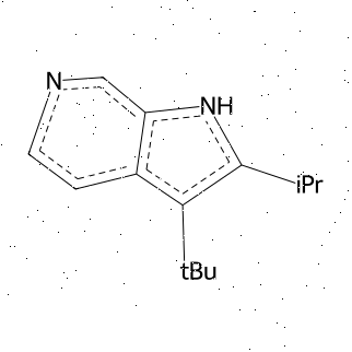 CC(C)c1[nH]c2cnccc2c1C(C)(C)C